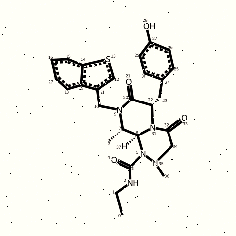 CCNC(=O)N1[C@H]2[C@H](C)N(Cc3csc4ccccc34)C(=O)[C@H](Cc3ccc(O)cc3)N2C(=O)CN1C